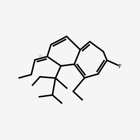 CC/C=C1/C=CC2=CCC(F)=CC(CC)=C2C1C(C)(CC)C(C)C